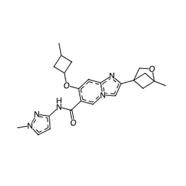 CC1CC(Oc2cc3nc(C45COC(C)(C4)C5)cn3cc2C(=O)Nc2ccn(C)n2)C1